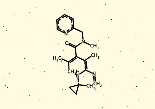 C=N/C(NC1(C)CC1)=C(\C)C(C(=O)N(C)Cc1ccccn1)=C(C)C